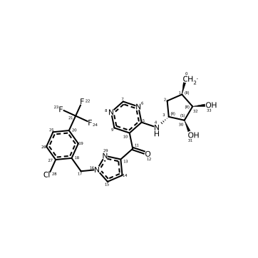 [CH2][C@@H]1C[C@@H](Nc2ncncc2C(=O)c2ccn(Cc3cc(C(F)(F)F)ccc3Cl)n2)[C@H](O)[C@@H]1O